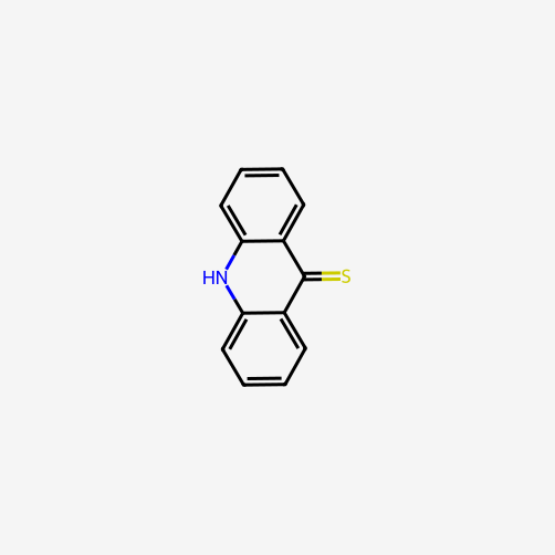 S=c1c2ccccc2[nH]c2ccccc12